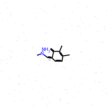 C=c1c(C)c(C)cc/c1=C/N(C)N